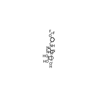 OC[C@H]1O[C@@H](n2cnc3c(NCc4cccc(OC(F)F)c4)ncnc32)[C@H](O)[C@@H]1O